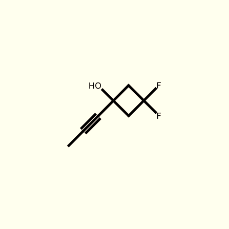 CC#CC1(O)CC(F)(F)C1